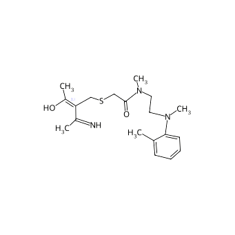 CC(=N)/C(CSCC(=O)N(C)CCN(C)c1ccccc1C)=C(/C)O